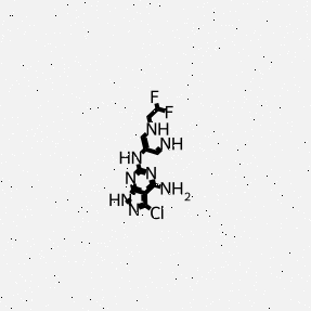 N=C/C(=C\NCC(F)F)Nc1nc(N)c2c(Cl)n[nH]c2n1